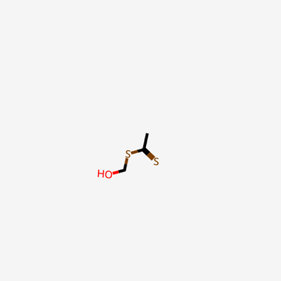 CC(=S)SCO